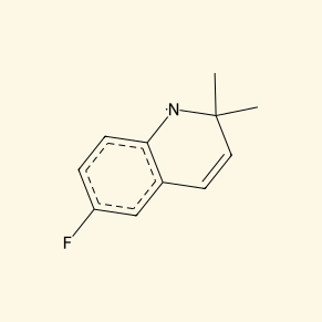 CC1(C)C=Cc2cc(F)ccc2[N]1